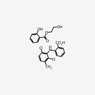 Cc1ccc(Cl)c(Nc2ccccc2C(=O)O)c1Cl.O=C(OCCO)c1ccccc1O